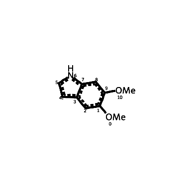 COc1cc2[c]c[nH]c2cc1OC